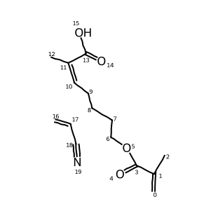 C=C(C)C(=O)OCCCCC=C(C)C(=O)O.C=CC#N